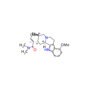 CC[C@H]1CN2CCc3c([nH]c4cccc(OC)c34)[C@H]2C[C@@H]1/C(=C\OC)C(=O)N(C)C